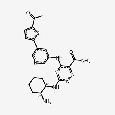 CC(=O)c1ccc(-c2cncc(Nc3nc(N[C@@H]4CCCC[C@@H]4N)nnc3C(N)=O)c2)s1